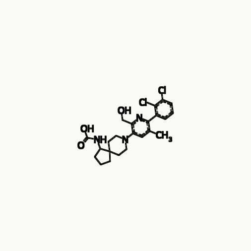 Cc1cc(N2CCC3(CCCC3NC(=O)O)CC2)c(CO)nc1-c1cccc(Cl)c1Cl